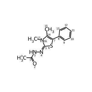 CC(=O)NN=c1sc(-c2ccccc2)c(C)n1C